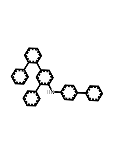 c1ccc(-c2ccc(Nc3ccc(-c4ccccc4-c4ccccc4)cc3-c3ccccc3)cc2)cc1